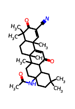 CC(=O)NC12CCC(C)(C)CC1C1C(=O)C=C3C4(C)C=C(C#N)C(=O)C(C)(C)C4CCC3(C)C1(C)CC2